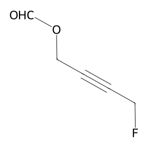 O=COCC#CCF